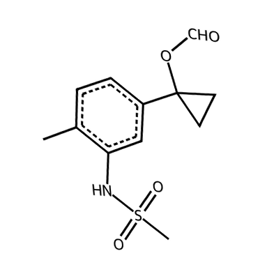 Cc1ccc(C2(OC=O)CC2)cc1NS(C)(=O)=O